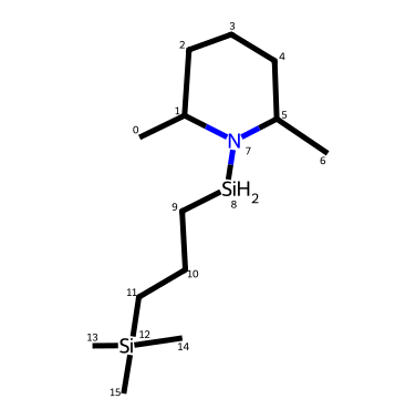 CC1CCCC(C)N1[SiH2]CCC[Si](C)(C)C